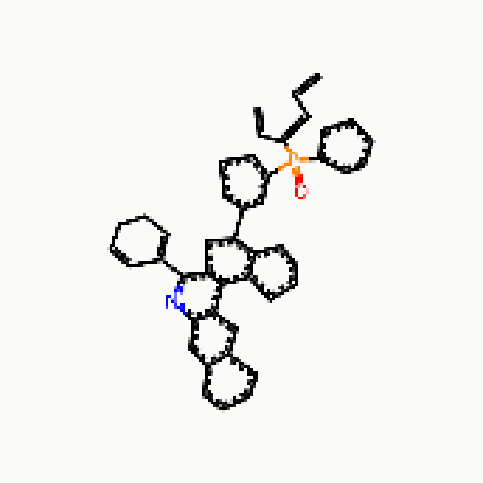 C=C/C=C(\C=C)P(=O)(c1ccccc1)c1cccc(-c2cc3c(C4=CCCC=C4)nc4cc5ccccc5cc4c3c3ccccc23)c1